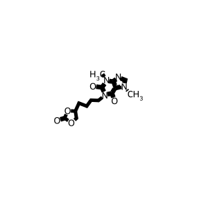 Cn1cnc2c1c(=O)n(CCCCC1COC(=O)O1)c(=O)n2C